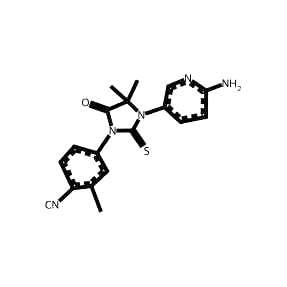 [C-]#[N+]c1ccc(N2C(=O)C(C)(C)N(c3ccc(N)nc3)C2=S)cc1C